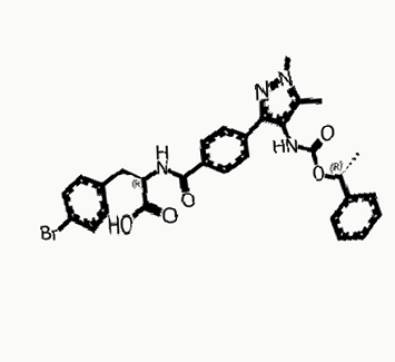 Cc1c(NC(=O)O[C@H](C)c2ccccc2)c(-c2ccc(C(=O)N[C@H](Cc3ccc(Br)cc3)C(=O)O)cc2)nn1C